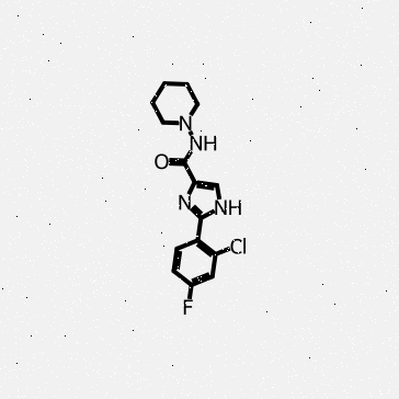 O=C(NN1CCCCC1)c1c[nH]c(-c2ccc(F)cc2Cl)n1